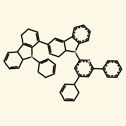 C1=CCCC(N2C3=C(CCC=C3C3=CCC4C(=C3)c3ccccc3N4c3cc(C4C=CC=CC4)cc(-c4ccccc4)n3)C3C=CC=CC32)=C1